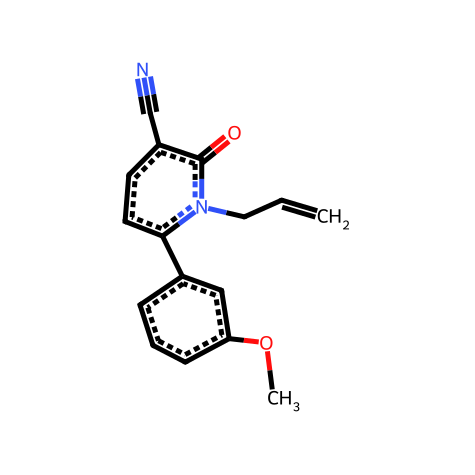 C=CCn1c(-c2cccc(OC)c2)ccc(C#N)c1=O